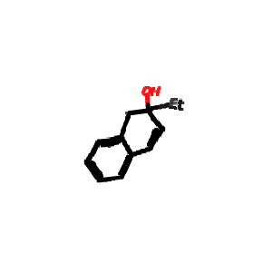 CCC1(O)[CH]c2ccccc2C=C1